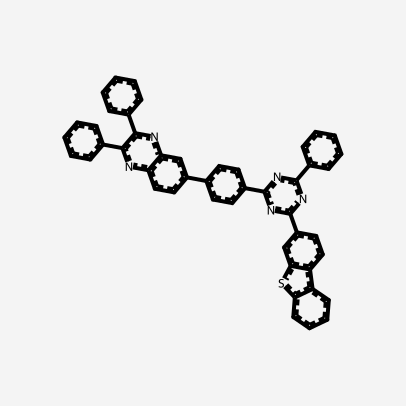 c1ccc(-c2nc(-c3ccc(-c4ccc5nc(-c6ccccc6)c(-c6ccccc6)nc5c4)cc3)nc(-c3ccc4c(c3)sc3ccccc34)n2)cc1